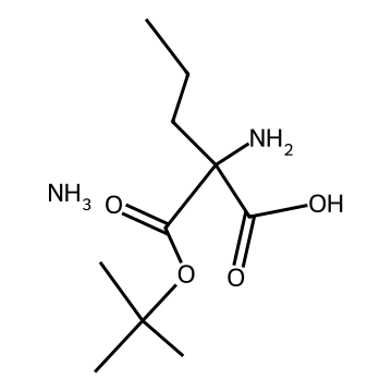 CCCC(N)(C(=O)O)C(=O)OC(C)(C)C.N